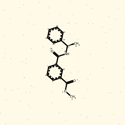 COC(=O)c1cccc(C(=O)N[C@H](C)c2ccccc2)c1